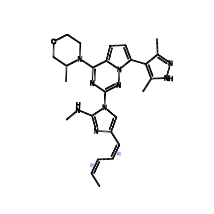 C/C=C\C=C/c1cn(-c2nc(N3CCOCC3C)c3ccc(-c4c(C)n[nH]c4C)n3n2)c(NC)n1